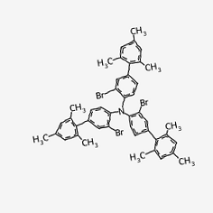 Cc1cc(C)c(-c2ccc(N(c3ccc(-c4c(C)cc(C)cc4C)cc3Br)c3ccc(-c4c(C)cc(C)cc4C)cc3Br)c(Br)c2)c(C)c1